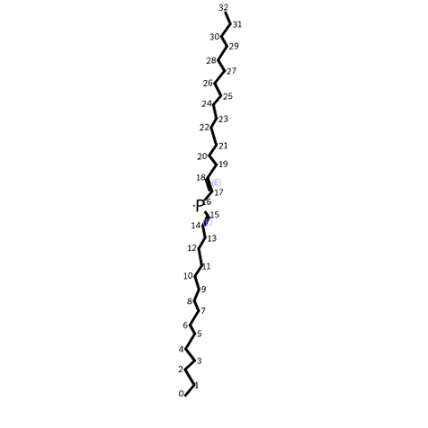 CCCCCCCCCCCCCC/C=C/[P]/C=C/CCCCCCCCCCCCCC